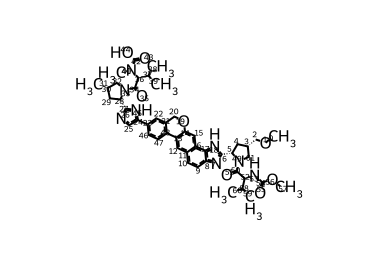 COC[C@H]1C[C@@H](c2nc3ccc4cc5c(cc4c3[nH]2)OCc2cc(-c3cnc([C@@H]4C[C@H](C)CN4C(=O)[C@H](C(C)C)N(C)C(=O)O)[nH]3)ccc2-5)N(C(=O)[C@@H](NC(=O)OC)C(C)C)C1